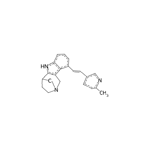 Cc1ccc(C=Cc2cccc3[nH]c4c(c23)CN2CCC4CC2)cn1